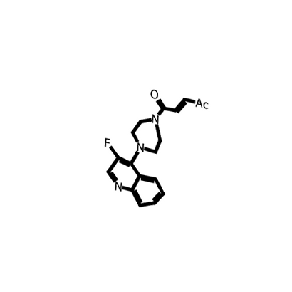 CC(=O)C=CC(=O)N1CCN(c2c(F)cnc3ccccc23)CC1